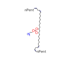 CCCCC/C=C\C/C=C\CCCCCCCCC(CCCCCCCC/C=C\C/C=C\CCCCC)OC(=O)OCCN(C)C